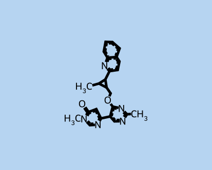 Cc1ncc(-c2cc(=O)n(C)cn2)c(OCC2C(C)C2c2ccc3ccccc3n2)n1